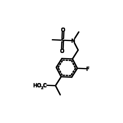 CC(C(=O)O)c1ccc(CN(C)S(C)(=O)=O)c(F)c1